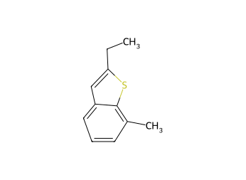 CCc1cc2cccc(C)c2s1